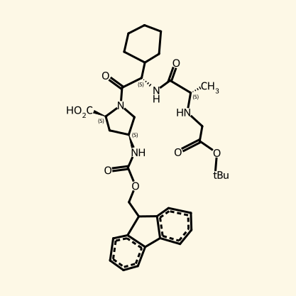 C[C@H](NCC(=O)OC(C)(C)C)C(=O)N[C@H](C(=O)N1C[C@@H](NC(=O)OCC2c3ccccc3-c3ccccc32)C[C@H]1C(=O)O)C1CCCCC1